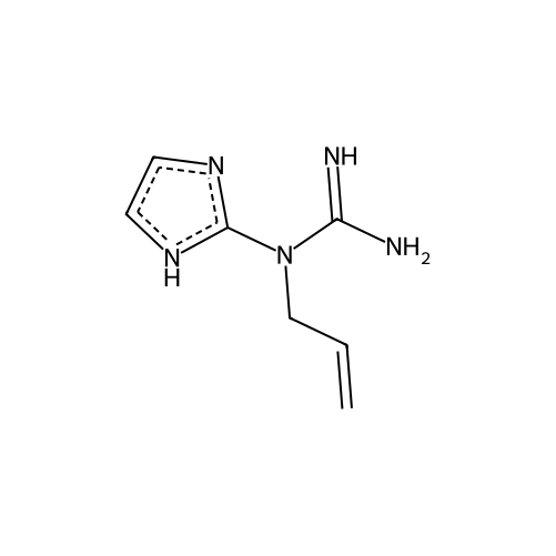 C=CCN(C(=N)N)c1ncc[nH]1